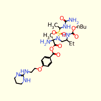 CCCCOC(=O)NC(CC)CN([C@](C)(N)C(=O)OC(=O)c1ccc(OCCNC2=NCCCN2)cc1)S(=O)(=O)C(C)NC(N)=O